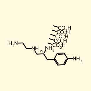 CC(=O)O.CC(=O)O.CC(=O)O.CC(=O)O.CC(=O)O.NCCNC[C@@H](N)Cc1ccc(N)cc1